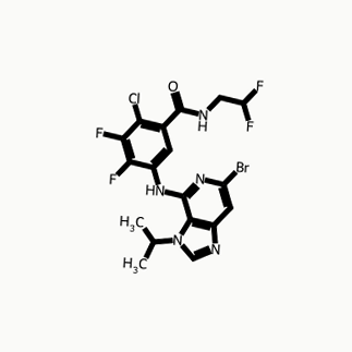 CC(C)n1cnc2cc(Br)nc(Nc3cc(C(=O)NCC(F)F)c(Cl)c(F)c3F)c21